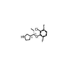 CC[C@H](Oc1c(F)ccc(F)c1Cl)[C@H]1CCNC1